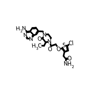 CCC1C(=O)N(Cc2ccc3c(N)ncnc3c2)CCN1C(=O)COc1sc(Cl)cc1CC(N)=O